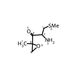 CSCC(N)C(=O)C1(C)CO1